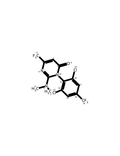 CN(C)c1nc(C(F)(F)F)cc(=O)n1-c1c(Cl)cc(C(F)(F)F)cc1Cl